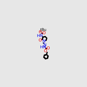 CC(C)(C)OC(=O)N[C@H]1CCCN(C=NNC(=O)OCc2ccccc2)C1=O